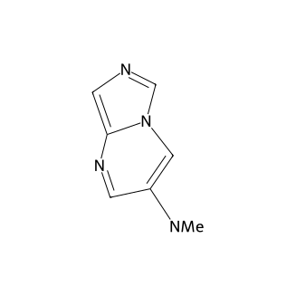 CNc1cnc2cncn2c1